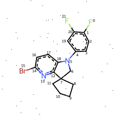 Fc1ccc(N2CC3(CCCC3)c3nc(Br)ccc32)cc1F